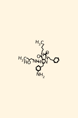 CCCCCn1c(=O)c2c(nc(Cc3cccc(N)c3)n2CCNCC(O)CC)n(CCc2ccccc2)c1=O